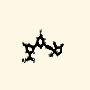 C=C1N(C)CC[C@@]1(O)C#Cc1cc(F)cc(-c2cc(C)cc(C(N)=O)n2)c1